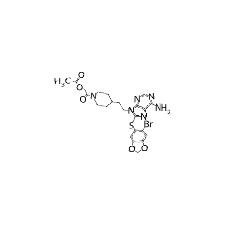 CC(=O)OCC(=O)N1CCC(CCn2c(Sc3cc4c(cc3Br)OCO4)nc3c(N)ncnc32)CC1